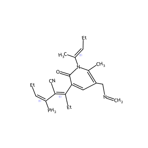 C=NCc1cc(/C(CC)=C(C#N)/C(P)=C\CC)c(=O)n(/C(C)=C/CC)c1C